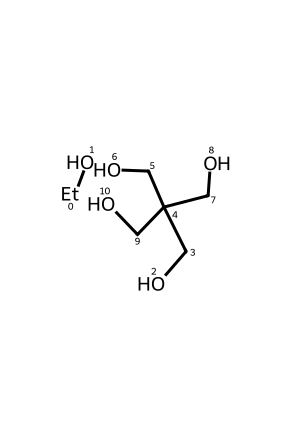 CCO.OCC(CO)(CO)CO